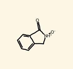 O=C1c2ccccc2C[NH+]1[O-]